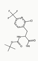 CC(C)(C)OC(=O)NC(Cc1ccc(C(F)(F)F)nc1Cl)C(=O)O